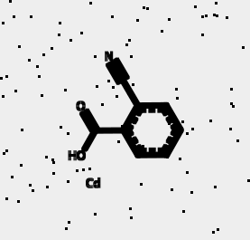 N#Cc1ccccc1C(=O)O.[Cd]